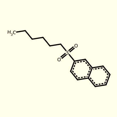 CCCCCCS(=O)(=O)c1ccc2ccccc2c1